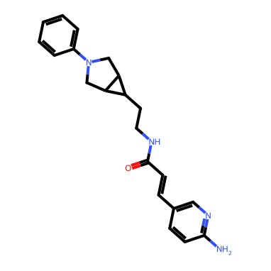 Nc1ccc(/C=C/C(=O)NCCC2C3CN(c4ccccc4)CC23)cn1